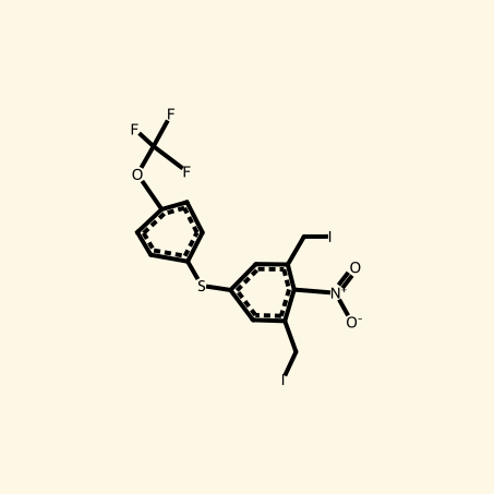 O=[N+]([O-])c1c(CI)cc(Sc2ccc(OC(F)(F)F)cc2)cc1CI